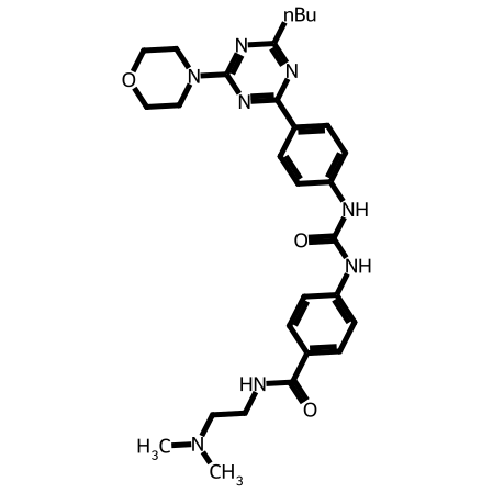 CCCCc1nc(-c2ccc(NC(=O)Nc3ccc(C(=O)NCCN(C)C)cc3)cc2)nc(N2CCOCC2)n1